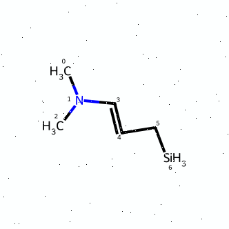 CN(C)C=CC[SiH3]